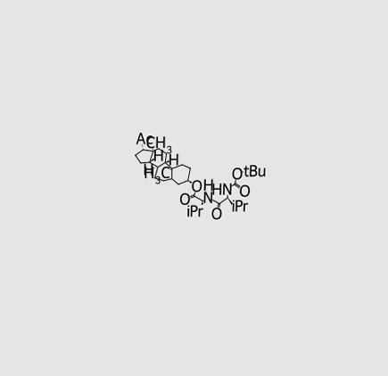 CC(=O)[C@H]1CC[C@H]2[C@@H]3CCC4C[C@H](OC(=O)[C@@H](NC(=O)[C@@H](NC(=O)OC(C)(C)C)C(C)C)C(C)C)CC[C@]4(C)[C@H]3CC[C@]12C